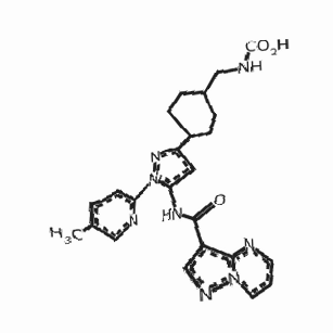 Cc1ccc(-n2nc(C3CCC(CNC(=O)O)CC3)cc2NC(=O)c2cnn3cccnc23)nc1